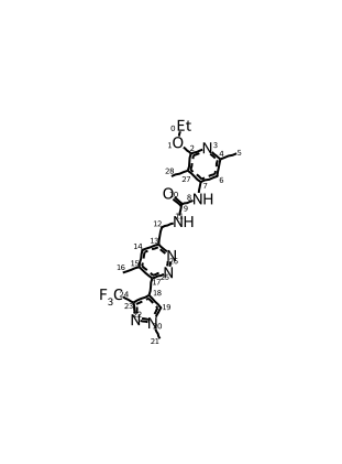 CCOc1nc(C)cc(NC(=O)NCc2cc(C)c(-c3cn(C)nc3C(F)(F)F)nn2)c1C